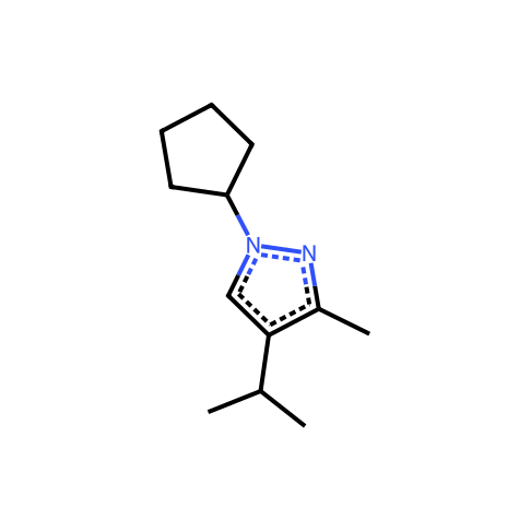 Cc1nn(C2CCCC2)cc1C(C)C